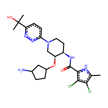 Cc1[nH]c(C(=O)N[C@@H]2CCN(c3ccc(C(C)(C)O)nn3)C[C@@H]2OC2CCC(N)C2)c(Cl)c1Cl